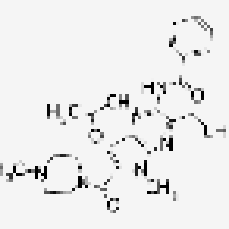 CCc1nc2c(cc1NC(=O)c1ccccc1)c(OC(C)C)c(C(=O)N1CCN(C)CC1)n2C